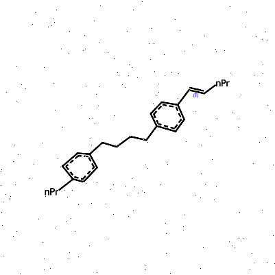 CCC/C=C/c1ccc(CCCCc2ccc(CCC)cc2)cc1